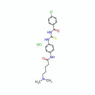 CN(C)CCCCC(=O)Nc1ccc(NC(=S)NC(=O)c2ccc(Cl)cc2)cc1.Cl